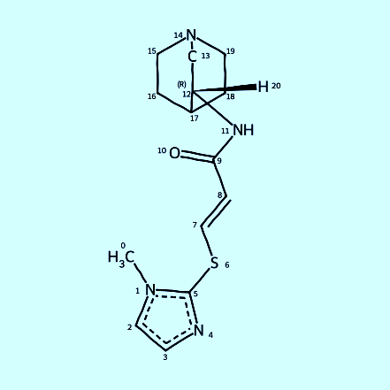 Cn1ccnc1SC=CC(=O)N[C@H]1CN2CCC1CC2